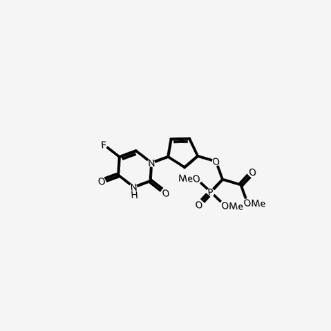 COC(=O)C(OC1C=CC(n2cc(F)c(=O)[nH]c2=O)C1)P(=O)(OC)OC